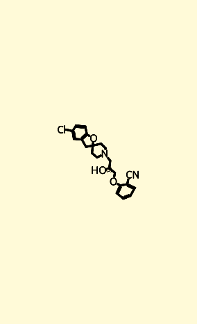 N#Cc1ccccc1OC[C@@H](O)CN1CCC2(CC1)Cc1cc(Cl)ccc1O2